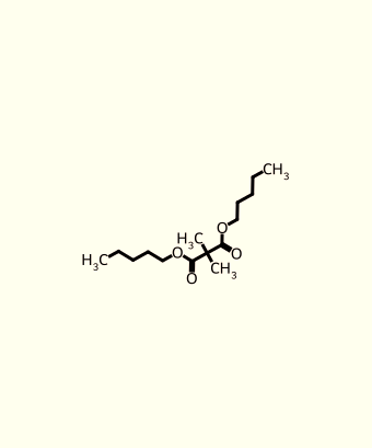 CCCCCOC(=O)C(C)(C)C(=O)OCCCCC